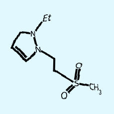 CCN1CC=CN1CCS(C)(=O)=O